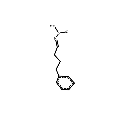 CC(C)(C)[S+]([O-])N=CCCCc1ccccc1